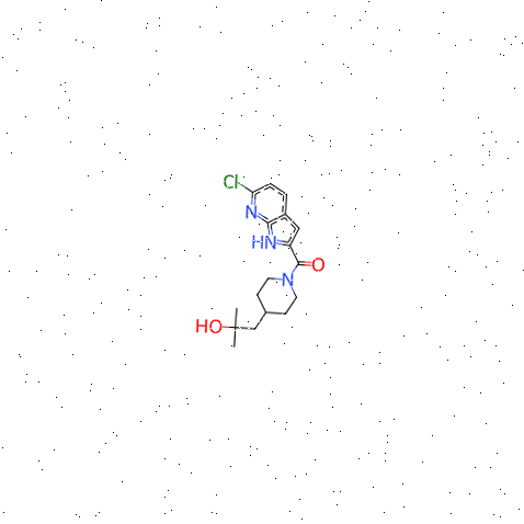 CC(C)(O)CC1CCN(C(=O)c2cc3ccc(Cl)nc3[nH]2)CC1